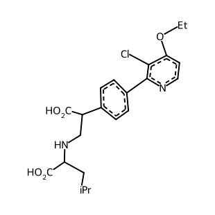 CCOc1ccnc(-c2ccc(C(CNC(CC(C)C)C(=O)O)C(=O)O)cc2)c1Cl